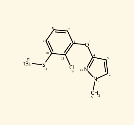 Cn1ccc(Oc2cccc(SC(C)(C)C)c2Cl)n1